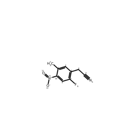 Cc1cc(CC#N)c(F)cc1[N+](=O)[O-]